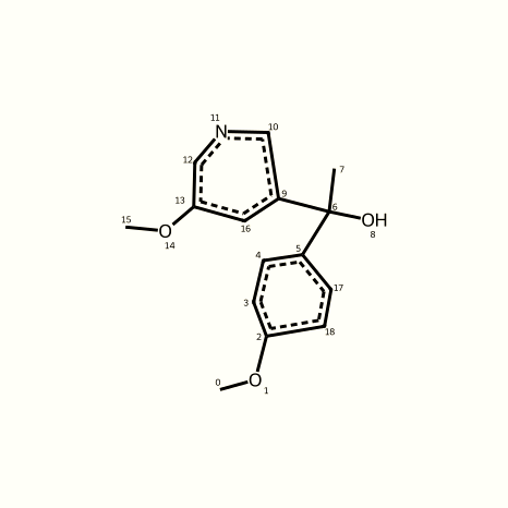 COc1ccc(C(C)(O)c2cncc(OC)c2)cc1